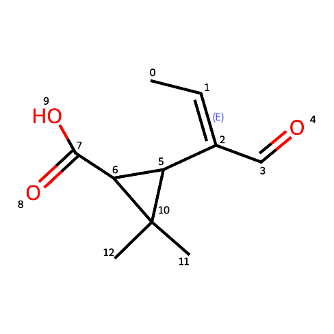 C/C=C(/C=O)C1C(C(=O)O)C1(C)C